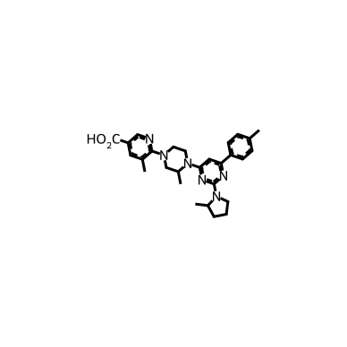 Cc1ccc(-c2cc(N3CCN(c4ncc(C(=O)O)cc4C)CC3C)nc(N3CCCC3C)n2)cc1